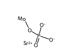 O=P([O-])([O-])[O][Mo].[Sr+2]